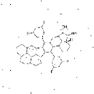 CCCC1C(C)C2CC3C(C4CC(F)CC(F)C4)C4C5CC6CCCC7CCC8CCC(C5C8C76)C4C(C4CC(F)CC(F)C4)C3C3CCC[C@@H]1C23